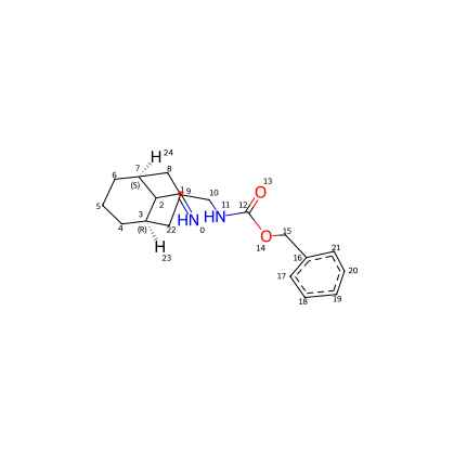 N=CC1[C@@H]2CCC[C@H]1CC(CNC(=O)OCc1ccccc1)C2